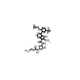 COCC(=O)N[C@H]1C[C@@H](F)[C@H](NC(=O)c2c(C)[nH]c3c(-c4cc(C(F)(F)F)ccc4OCC4CC4)ncnc23)C1